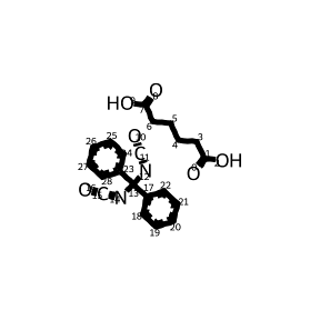 O=C(O)CCCCC(=O)O.O=C=NC(N=C=O)(c1ccccc1)c1ccccc1